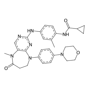 Cc1cc(Nc2ncc3c(n2)N(c2ccc(N4CCOCC4)cc2)CCC(=O)N3C)ccc1NC(=O)C1CC1